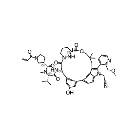 C=CC(=O)N1CC[C@H](C(=O)N(C)[C@H](C(=O)N[C@H]2Cc3cc(O)cc(c3)-c3ccc4c(c3)c(c(-c3cccnc3COC)n4CC#N)CC(C)(C)COC(=O)[C@@H]3CCCN(N3)C2=O)C(C)C)C1